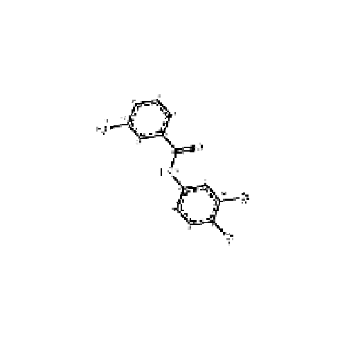 CCc1ccc(NC(=O)c2cccc(C(F)(F)F)c2)cc1CC